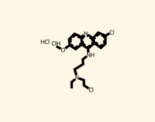 CCN(CCCl)CCCNc1c2ccc(Cl)cc2nc2ccc(OC)cc12.Cl.Cl